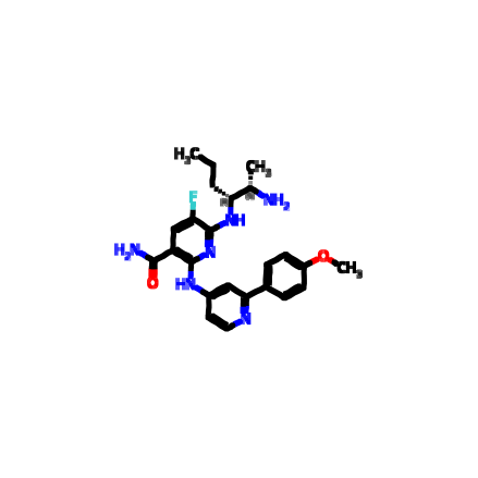 CCC[C@@H](Nc1nc(Nc2ccnc(-c3ccc(OC)cc3)c2)c(C(N)=O)cc1F)[C@H](C)N